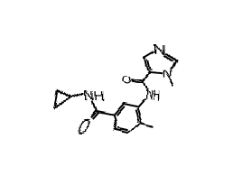 Cc1ccc(C(=O)NC2CC2)cc1NC(=O)c1cncn1C